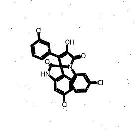 O=C1C(O)=C(c2cccc(Cl)c2)C2(C(=O)Nc3cc(Cl)ccc32)N1c1cccc(Cl)c1